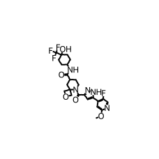 COc1cc(-c2cc(C(=O)N3CCC(C(=O)NC4CCC(O)(C(F)(F)F)CC4)CC34COC4)n[nH]2)c(F)cn1